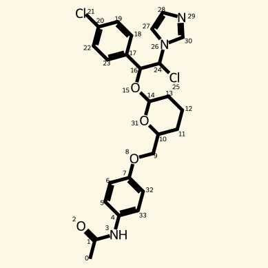 CC(=O)Nc1ccc(OCC2CCCC(OC(c3ccc(Cl)cc3)C(Cl)n3ccnc3)O2)cc1